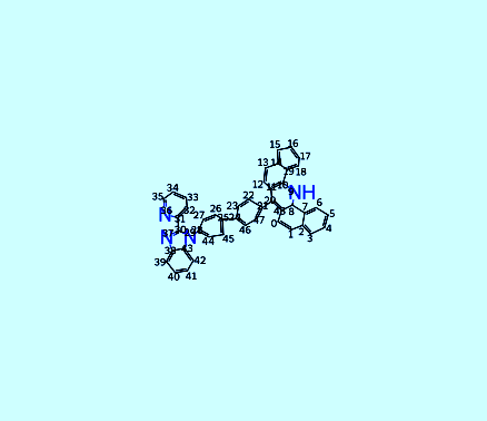 C1=Cc2ccccc2C2Nc3c(ccc4ccccc34)C(c3ccc(-c4ccc(-n5c(-c6ccccn6)nc6ccccc65)cc4)cc3)=C12